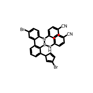 N#Cc1ccc(NB2c3c(cccc3C3C=CC(Br)=C3)-c3cc(Br)ccc3N2c2ccc(C#N)cc2)cc1